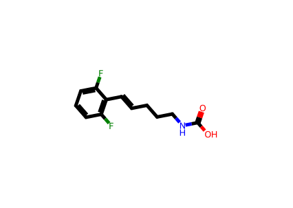 O=C(O)NCCCC=Cc1c(F)cccc1F